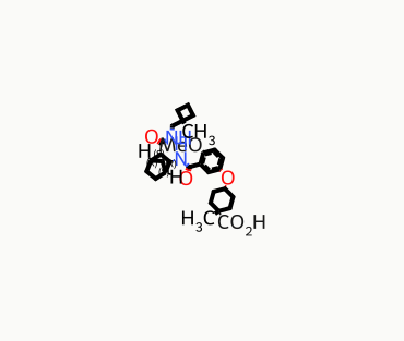 COc1ccc(O[C@H]2CC[C@@](C)(C(=O)O)CC2)cc1C(=O)N[C@@H]1[C@H]2CC[C@H](C2)[C@@H]1C(=O)NCC1(C)CCC1